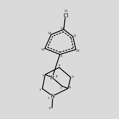 CN1CC2CCC1CN2c1ccc(Cl)cc1